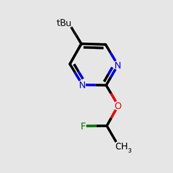 CC(F)Oc1ncc(C(C)(C)C)cn1